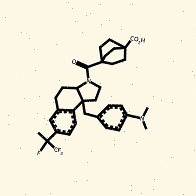 CN(C)c1ccc(CC23CCN(C(=O)C45CCC(C(=O)O)(CC4)CC5)C2CCc2cc(C(C)(F)C(F)(F)F)ccc23)cc1